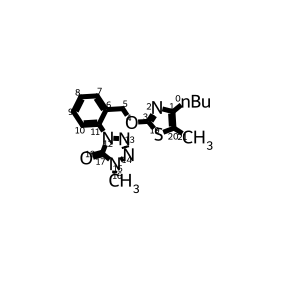 CCCCc1nc(OCc2ccccc2-n2nnn(C)c2=O)sc1C